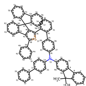 CC1(C)c2ccccc2-c2ccc(N(c3ccc(-c4ccccc4)cc3)c3ccc(-c4ccccc4-c4sc(-c5ccccc5)c5c4C4(c6ccccc6-c6ccccc64)c4ccccc4-5)cc3)cc21